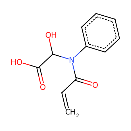 C=CC(=O)N(c1ccccc1)C(O)C(=O)O